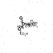 Cc1nc(NC(=N)N)sc1C(=O)Nc1cc(OCc2ccccc2)cc(C(=O)Nc2cccc(CCC(=O)O)c2)c1